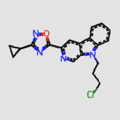 ClCCCn1c2ccccc2c2cc(-c3nc(C4CC4)no3)ncc21